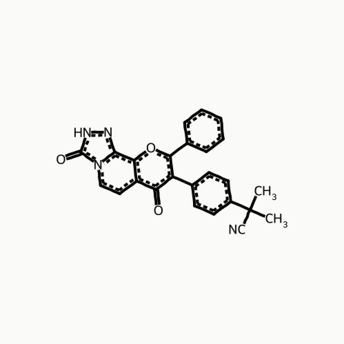 CC(C)(C#N)c1ccc(-c2c(-c3ccccc3)oc3c(ccn4c(=O)[nH]nc34)c2=O)cc1